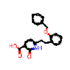 O=C(O)c1ccc(CCc2ccccc2OCc2ccccc2)[nH]c1=O